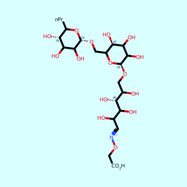 CCCC1O[C@H](OCC2O[C@H](OCC(O)[C@@H](O)C(O)C(O)/C=N/OCC(=O)O)C(O)C(O)[C@@H]2O)C(O)C(O)[C@@H]1O